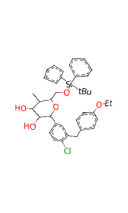 CCOc1ccc(Cc2cc(C3OC(CO[Si](c4ccccc4)(c4ccccc4)C(C)(C)C)C(C)C(O)C3O)ccc2Cl)cc1